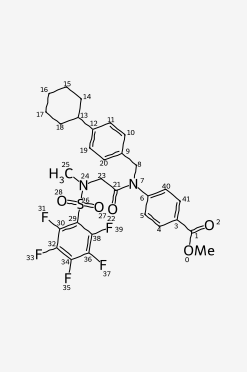 COC(=O)c1ccc(N(Cc2ccc(C3CCCCC3)cc2)C(=O)CN(C)S(=O)(=O)c2c(F)c(F)c(F)c(F)c2F)cc1